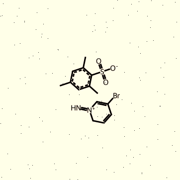 Cc1cc(C)c(S(=O)(=O)[O-])c(C)c1.N=[N+]1C=C(Br)C=CC1